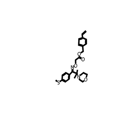 C=Cc1ccc(COC(=O)CON=C(c2ccc(SC)cc2)C(C)(C)N2CCOCC2)cc1